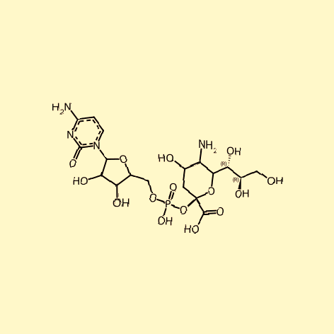 Nc1ccn(C2OC(COP(=O)(O)OC3(C(=O)O)CC(O)C(N)C([C@H](O)[C@H](O)CO)O3)C(O)C2O)c(=O)n1